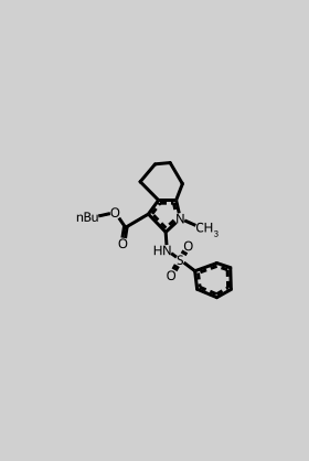 CCCCOC(=O)c1c2c(n(C)c1NS(=O)(=O)c1ccccc1)CCCC2